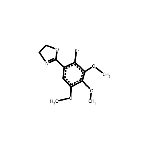 COc1cc(C2=NCCO2)c(Br)c(OC)c1OC